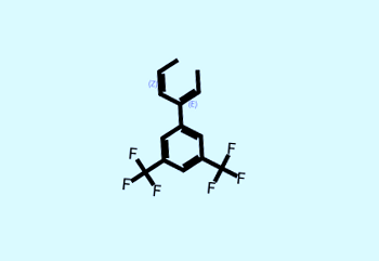 C/C=C\C(=C/C)c1cc(C(F)(F)F)cc(C(F)(F)F)c1